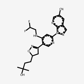 CC(C)(O)CCC1CC(c2cnc(-n3ncc4cc(C#N)cnc43)cc2NCC(F)F)=NO1